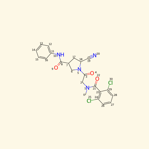 CN(CC(=O)N1CC(C(=O)Nc2ccccc2)CC1C#N)C(=O)c1c(Cl)cccc1Cl